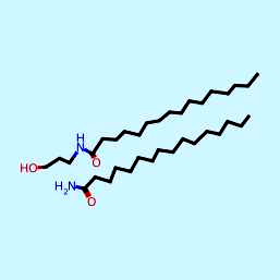 CCCCCCCCCCCCCCCC(=O)NCCCO.CCCCCCCCCCCCCCCC(N)=O